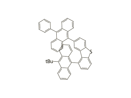 CC(C)(C)c1c2ccccc2c(-c2cccc3sc4ccc(-c5c6ccccc6c(-c6ccccc6)c6ccccc56)cc4c23)c2ccccc12